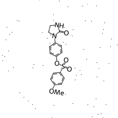 COc1ccc(S(=O)(=O)Oc2ccc(N3CCNC3=O)cc2)cc1